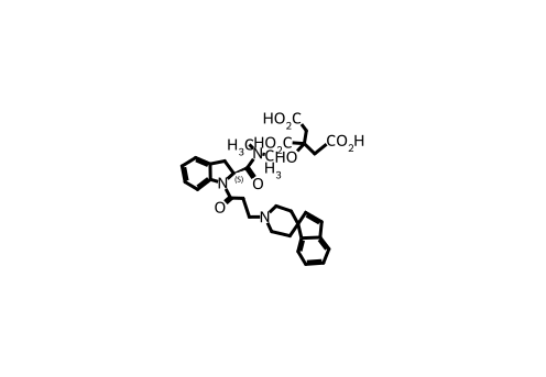 CN(C)C(=O)[C@@H]1Cc2ccccc2N1C(=O)CCN1CCC2(C=Cc3ccccc32)CC1.O=C(O)CC(O)(CC(=O)O)C(=O)O